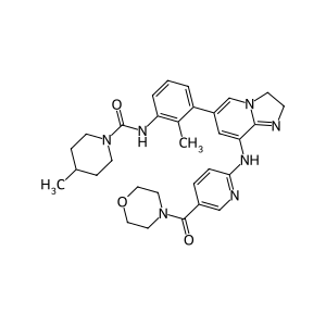 Cc1c(NC(=O)N2CCC(C)CC2)cccc1C1=CN2CCN=C2C(Nc2ccc(C(=O)N3CCOCC3)cn2)=C1